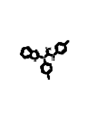 Cc1ccc(NC(=N)N(c2ccc(C)cc2)c2nc3ccccc3s2)cc1